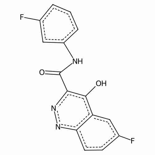 O=C(Nc1cccc(F)c1)c1nnc2ccc(F)cc2c1O